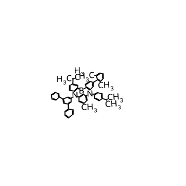 Cc1cc2c3c(c1)N(c1ccc(C(C)C)cc1)c1cc(-c4c(C)cccc4C)ccc1B3c1cc(C(C)C)ccc1N2c1cc(-c2ccccc2)cc(-c2ccccc2)c1